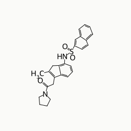 CC1=C(CC(=O)N2CCCC2)c2cccc(NS(=O)(=O)c3ccc4ccccc4c3)c2C1